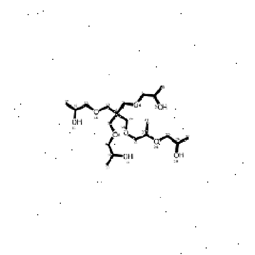 CC(O)COCC(COCC(C)O)(COCC(C)O)COCC(C)OCC(C)O